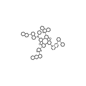 C1=CN(c2cc3oc4cc(-c5nc6ccccc6c6ccccc56)cc5c6cc(N(c7ccccc7)c7cccc8c(-c9ccc%10ccccc%10c9)cccc78)cc7oc8c(-c9ccnc(-c%10cccc%11cc%12ccccc%12cc%10%11)n9)ccc(c(c2)c3c45)c8c76)C2C=C(c3ccccc3-c3ccccc3)C=CC2=C1